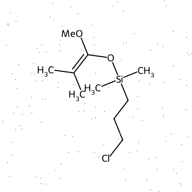 COC(O[Si](C)(C)CCCCl)=C(C)C